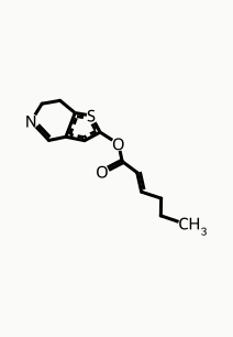 CCCC=CC(=O)Oc1cc2c(s1)CCN=C2